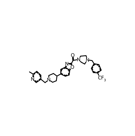 Cc1ccc(CN2CCC(c3ccc4oc(C(=O)N5CCN(Cc6ccc(C(F)(F)F)cc6)CC5)nc4c3)CC2)cn1